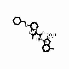 Cc1cccc2c1C[C@@H](C(=O)O)[C@@H]2NC(=O)c1c(C)nc2c(OCC3CCCCC3)cccn12